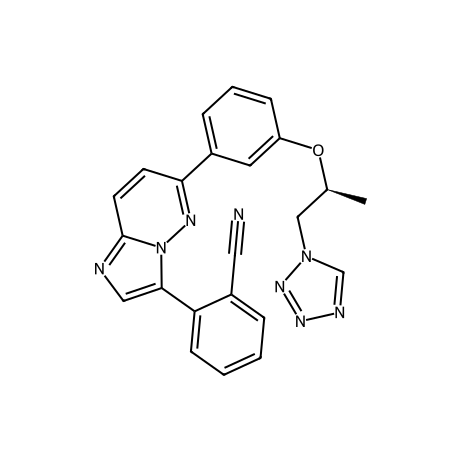 C[C@@H](Cn1cnnn1)Oc1cccc(-c2ccc3ncc(-c4ccccc4C#N)n3n2)c1